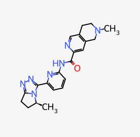 C[C@H]1CCc2nnc(-c3cccc(NC(=O)c4cc5c(cn4)CCN(C)C5)n3)n21